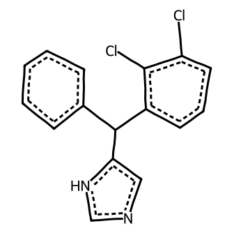 Clc1cccc(C(c2ccccc2)c2cnc[nH]2)c1Cl